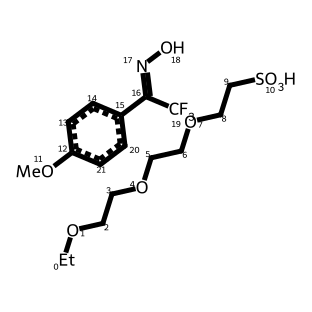 CCOCCOCCOCCS(=O)(=O)O.COc1ccc(C(=NO)C(F)(F)F)cc1